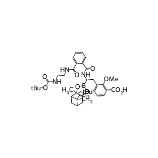 COc1c(C(=O)O)ccc(C(C)(C)C)c1C[C@H](NC(=O)c1ccccc1C(=O)NCCNC(=O)OC(C)(C)C)B1OC2CC3CC(C3(C)C)C2(C)O1